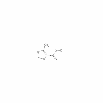 Cc1ccoc1C(=O)OCl